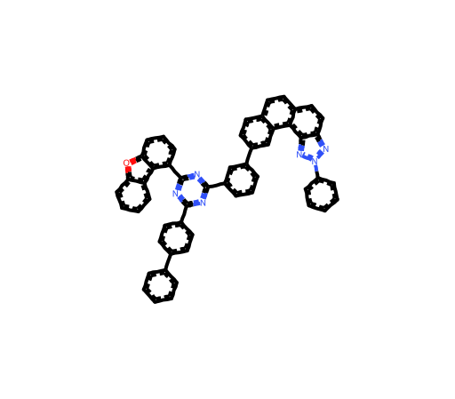 c1ccc(-c2ccc(-c3nc(-c4cccc(-c5ccc6ccc7ccc8nn(-c9ccccc9)nc8c7c6c5)c4)nc(-c4cccc5oc6ccccc6c45)n3)cc2)cc1